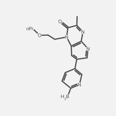 Bc1ccc(-c2cnc3nc(C)c(=O)n(CCOCCC)c3c2)cn1